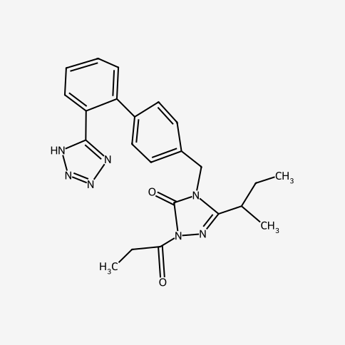 CCC(=O)n1nc(C(C)CC)n(Cc2ccc(-c3ccccc3-c3nnn[nH]3)cc2)c1=O